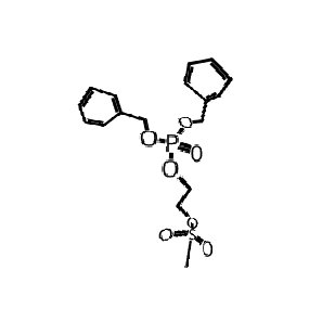 CS(=O)(=O)OCCOP(=O)(OCc1ccccc1)OCc1ccccc1